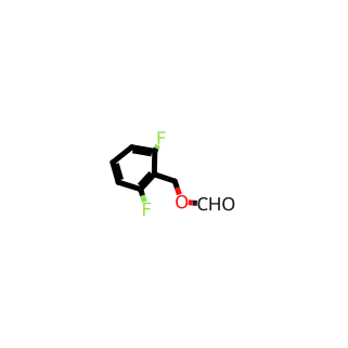 O=COCc1c(F)cccc1F